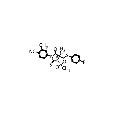 Cc1cc(N2C(=O)[C@](C)(CSc3ccc(F)cc3)N(S(C)(=O)=O)C2=S)ccc1C#N